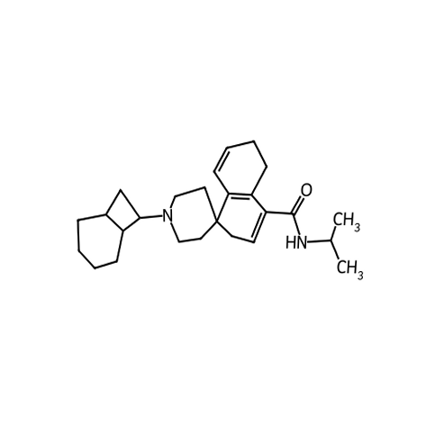 CC(C)NC(=O)C1=CCC2(CCN(C3CC4CCCCC43)CC2)C2=C1CCC=C2